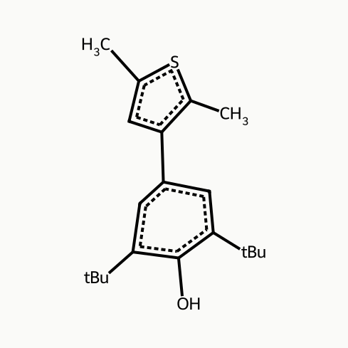 Cc1cc(-c2cc(C(C)(C)C)c(O)c(C(C)(C)C)c2)c(C)s1